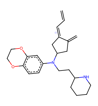 C=C/C=C1/CC(N(CCC2CCCCN2)c2ccc3c(c2)OCCO3)CC1=C